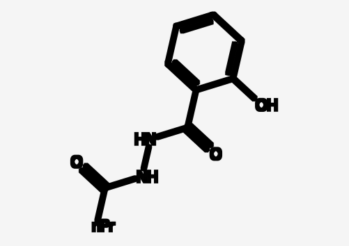 CCCC(=O)NNC(=O)c1ccccc1O